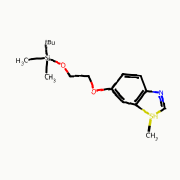 C[SH]1C=Nc2ccc(OCCO[Si](C)(C)C(C)(C)C)cc21